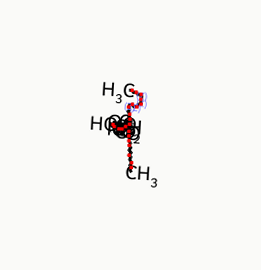 CCCCC/C=C\C/C=C\C/C=C\C/C=C\CCCCCC(=O)O[C@H](COC(=O)CCCCCCCCCCCCCCCC)COP(=O)(O)OC[C@H](N)C(=O)O